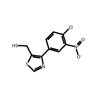 O=[N+]([O-])c1cc(-c2ncsc2CS)ccc1Cl